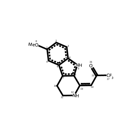 COc1ccc2[nH]c3c(c2c1)CCN/C3=C/C(=O)C(F)(F)F